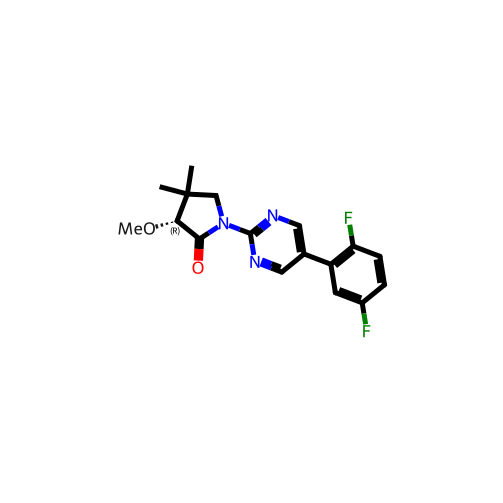 CO[C@H]1C(=O)N(c2ncc(-c3cc(F)ccc3F)cn2)CC1(C)C